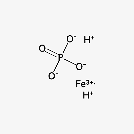 O=P([O-])([O-])[O-].[Fe+3].[H+].[H+]